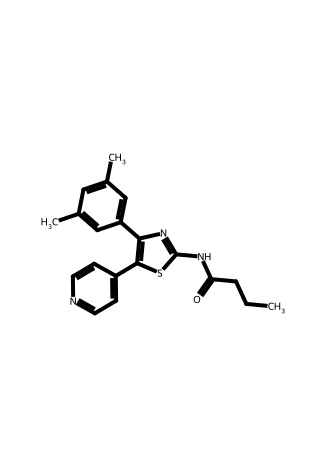 CCCC(=O)Nc1nc(-c2cc(C)cc(C)c2)c(-c2ccncc2)s1